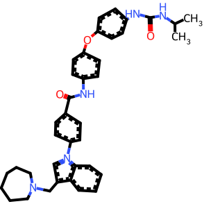 CC(C)NC(=O)Nc1ccc(Oc2ccc(NC(=O)c3ccc(-n4cc(CN5CCCCCC5)c5ccccc54)cc3)cc2)cc1